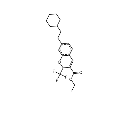 CCOC(=O)C1=Cc2ccc(CCC3CCCCC3)cc2OC1C(F)(F)F